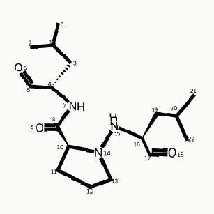 CC(C)C[C@@H](C=O)NC(=O)[C@@H]1CCCN1N[C@H](C=O)CC(C)C